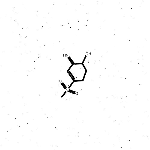 CS(=O)(=O)C1=CC(=N)C(O)CC1